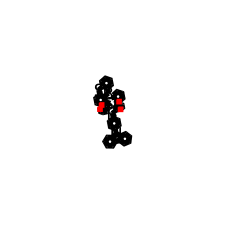 c1ccc2c(c1)Sc1cccc3c1B2c1ccccc1[Si]31c2ccccc2B(c2ccc(-n3c4ccccc4c4ccccc43)cc2)c2ccccc21